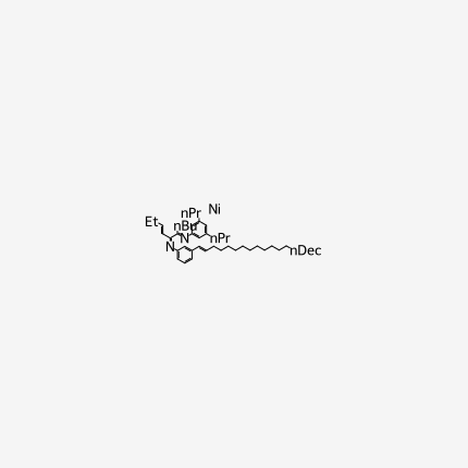 CCC=CC(=Nc1cccc(C=CCCCCCCCCCCCCCCCCCCCCC)c1)C(CCCC)=Nc1cc(CCC)cc(CCC)c1.[Ni]